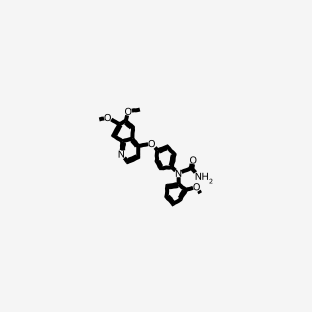 COc1cc2nccc(Oc3ccc(N(C(N)=O)c4ccccc4OC)cc3)c2cc1OC